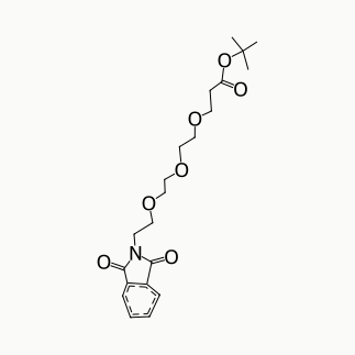 CC(C)(C)OC(=O)CCOCCOCCOCCN1C(=O)c2ccccc2C1=O